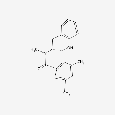 Cc1cc(C)cc(C(=O)N(C)[C@@H](CO)Cc2ccccc2)c1